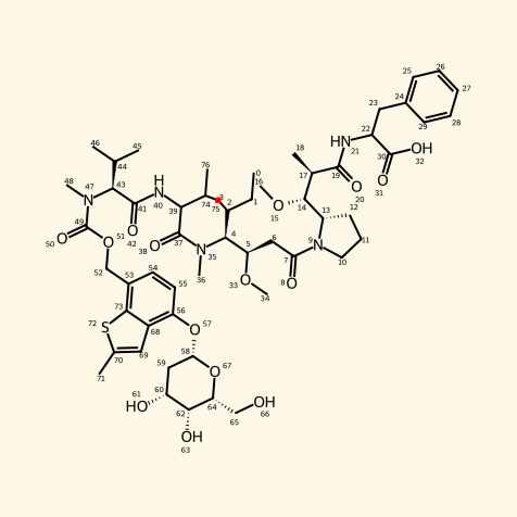 CCC(C)[C@@H]([C@@H](CC(=O)N1CCC[C@H]1[C@H](OC)[C@@H](C)C(=O)NC(Cc1ccccc1)C(=O)O)OC)N(C)C(=O)C(NC(=O)[C@H](C(C)C)N(C)C(=O)OCc1ccc(O[C@H]2C[C@@H](O)[C@@H](O)[C@@H](CO)O2)c2cc(C)sc12)C(C)C